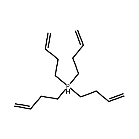 C=CCC[PH](CCC=C)(CCC=C)CCC=C